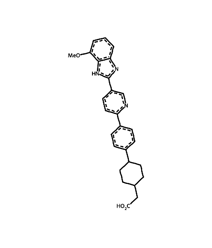 COc1cccc2nc(-c3ccc(-c4ccc(C5CCC(CC(=O)O)CC5)cc4)nc3)[nH]c12